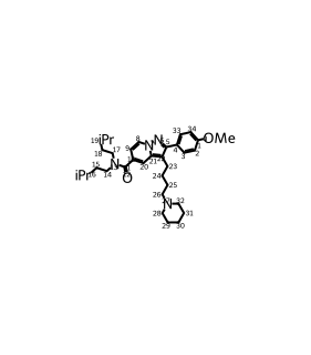 COc1ccc(-c2nn3ccc(C(=O)N(CCC(C)C)CCC(C)C)cc3c2CCCCN2CCCCC2)cc1